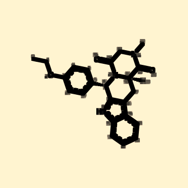 CCOc1ccc([C@H]2c3[nH]c4ccccc4c3C[C@@H]3C(=O)N(C)CC(=O)N23)cc1